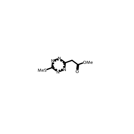 COC(=O)Cc1nnc(SC)nn1